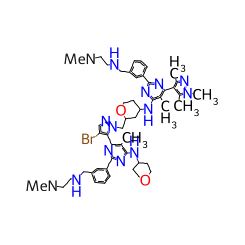 CNCCNCc1cccc(-c2nc(NC3CCOC(Cn4ncc(Br)c4-c4nc(-c5cccc(CNCCNC)c5)nc(NC5CCOCC5)c4C)C3)c(C)c(-c3c(C)nn(C)c3C)n2)c1